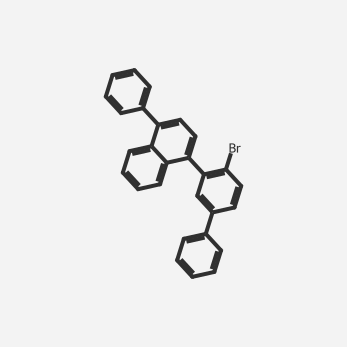 Brc1ccc(-c2ccccc2)cc1-c1ccc(-c2ccccc2)c2ccccc12